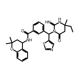 CCC1(C)CC(=O)N(C(c2cccc(C(=O)NC3CC(C)(C)Oc4ccccc43)c2)c2cncs2)C(=N)N1